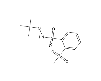 CC(C)(C)ONS(=O)(=O)c1ccccc1S(C)(=O)=O